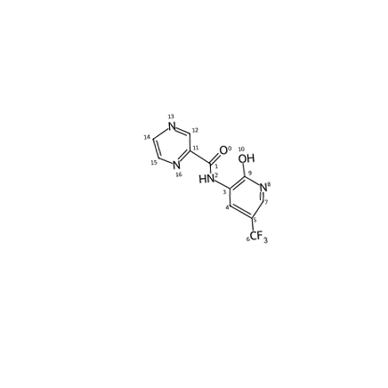 O=C(Nc1cc(C(F)(F)F)cnc1O)c1cnccn1